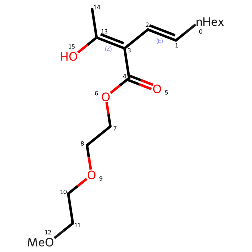 CCCCCC/C=C/C(C(=O)OCCOCCOC)=C(\C)O